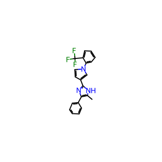 Cc1[nH]c(-c2ccn(-c3ccccc3C(F)(F)F)c2)nc1-c1ccccc1